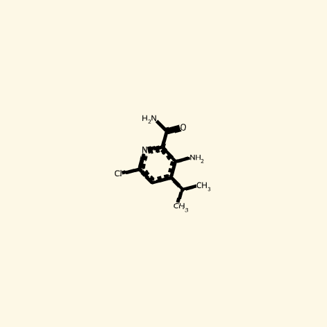 CC(C)c1cc(Cl)nc(C(N)=O)c1N